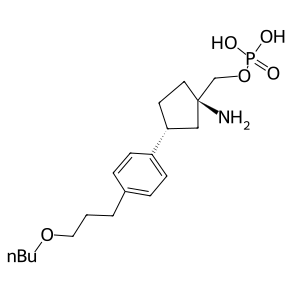 CCCCOCCCc1ccc([C@@H]2CC[C@](N)(COP(=O)(O)O)C2)cc1